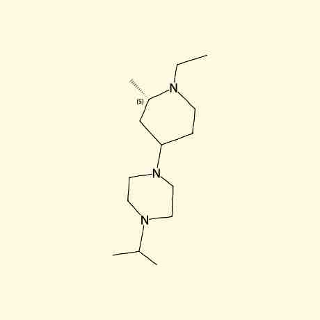 CCN1CCC(N2CCN(C(C)C)CC2)C[C@@H]1C